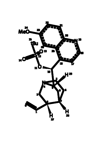 C=C[C@H]1CN2CC[C@H]1C[C@H]2[C@H](OS(=O)(=O)C(C)(C)C)c1ccnc2ccc(OC)cc12